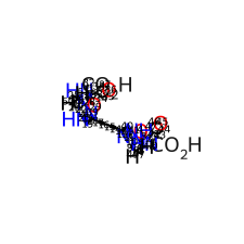 O=C(O)N[C@H](C(=O)N1[C@@H]2C[C@@H]2C[C@H]1c1nc(C#CC#Cc2c[nH]c([C@@H]3C[C@H]4C[C@H]4N3C(=O)[C@@H](NC(=O)O)C3CCOCC3)n2)c[nH]1)C1CCOCC1